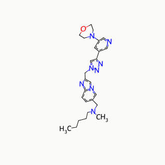 CCCCCN(C)Cc1ccc2nc(Cn3cc(-c4cncc(N5CCOCC5)c4)nn3)cn2c1